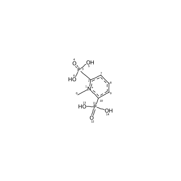 C[n+]1c(P(=O)(O)O)cccc1P(=O)(O)O